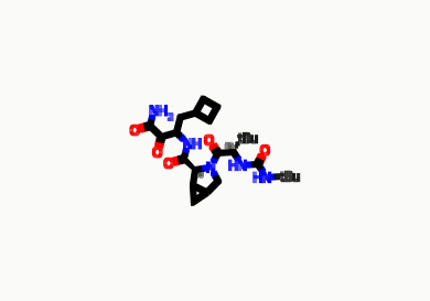 CC(C)(C)NC(=O)N[C@H](C(=O)N1CC2CC2[C@H]1C(=O)NC(CC1CCC1)C(=O)C(N)=O)C(C)(C)C